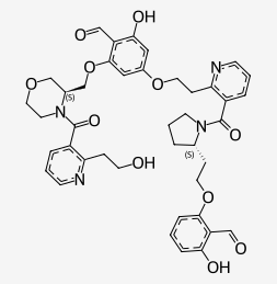 O=Cc1c(O)cccc1OCC[C@@H]1CCCN1C(=O)c1cccnc1CCOc1cc(O)c(C=O)c(OC[C@@H]2COCCN2C(=O)c2cccnc2CCO)c1